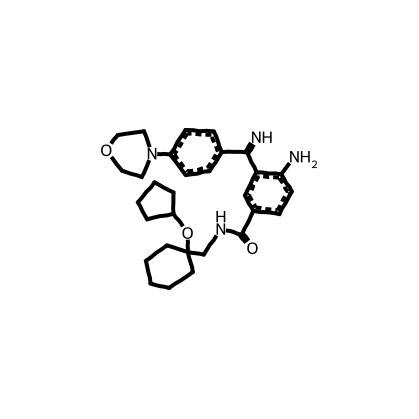 N=C(c1ccc(N2CCOCC2)cc1)c1cc(C(=O)NCC2(OC3CCCC3)CCCCC2)ccc1N